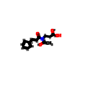 CC(=O)N(CCC(=O)O)C(=O)/C=C/c1ccccc1